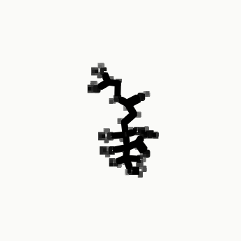 CCC(C)(C)C(C)(C(=O)OC)S(C)(C)CCC(=O)OCC(C)O